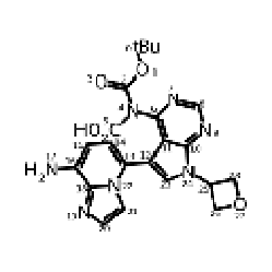 CC(C)(C)OC(=O)N(C(=O)O)c1ncnc2c1c(-c1ccc(N)c3nccn13)cn2C1COC1